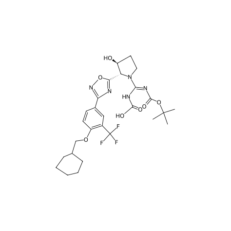 CC(C)(C)OC(=O)/N=C(\NC(=O)O)N1CC[C@H](O)[C@H]1c1nc(-c2ccc(OCC3CCCCC3)c(C(F)(F)F)c2)no1